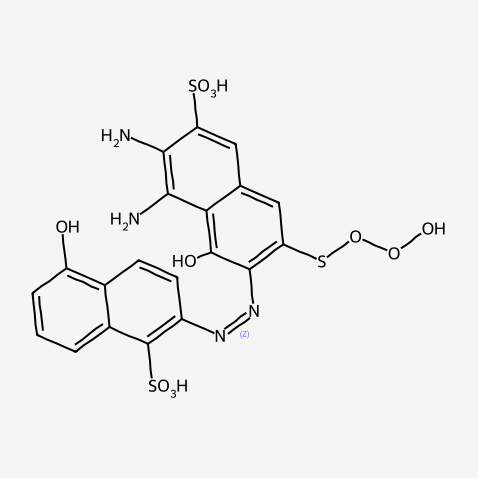 Nc1c(S(=O)(=O)O)cc2cc(SOOO)c(/N=N\c3ccc4c(O)cccc4c3S(=O)(=O)O)c(O)c2c1N